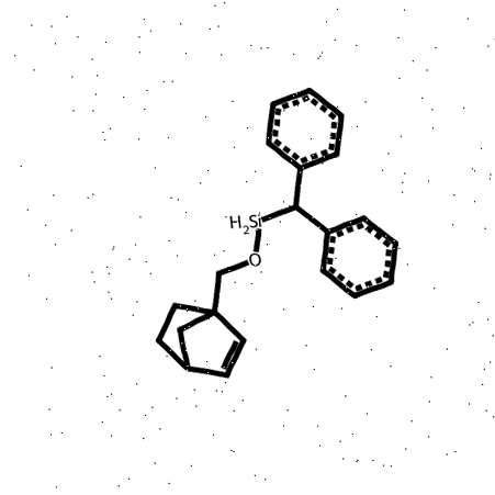 C1=CC2(CO[SiH2]C(c3ccccc3)c3ccccc3)CCC1C2